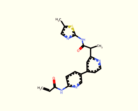 C=CC(=O)Nc1ccc(-c2ccnc(C(C)C(=O)Nc3ncc(C)s3)c2)cn1